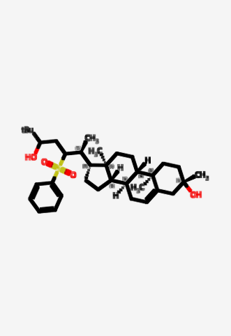 C[C@H](C(CC(O)C(C)(C)C)S(=O)(=O)c1ccccc1)[C@H]1CC[C@H]2[C@@H]3CC=C4C[C@@](C)(O)CC[C@]4(C)[C@H]3CC[C@]12C